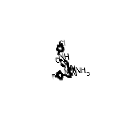 Nc1nc(N2CCN(C(=O)NCc3ccc(Cl)cc3)CC2)c2nc(-c3ccc(F)cc3)ccc2n1